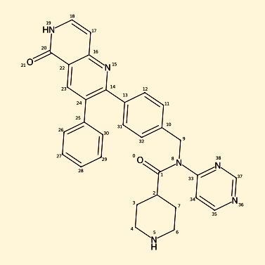 O=C(C1CCNCC1)N(Cc1ccc(-c2nc3cc[nH]c(=O)c3cc2-c2ccccc2)cc1)c1ccncn1